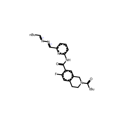 CCCC/C=N/N=C/c1cccc(NC(=O)c2cc3c(cc2F)CCN(C(=O)C(C)(C)C)C3)n1